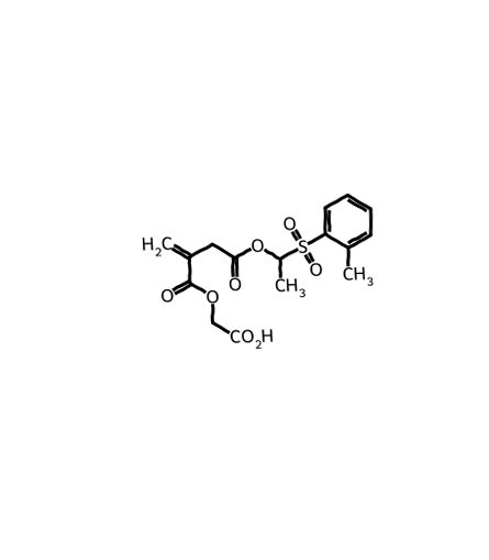 C=C(CC(=O)OC(C)S(=O)(=O)c1ccccc1C)C(=O)OCC(=O)O